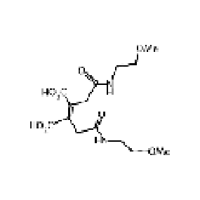 COCCNC(=O)CC(C(=O)O)=C(CC(=O)NCCOC)C(=O)O